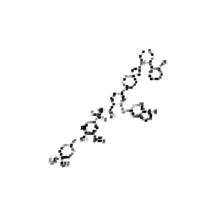 CC(C)c1ccccc1[C@@H]1COCCN1C1CC2(CCN(c3ccc(C(=O)NS(=O)(=O)c4cnc(NCC5CCC(C)(C)CC5)c([N+](=O)[O-])c4)c(Oc4cnc5[nH]ccc5c4)n3)CC2)C1